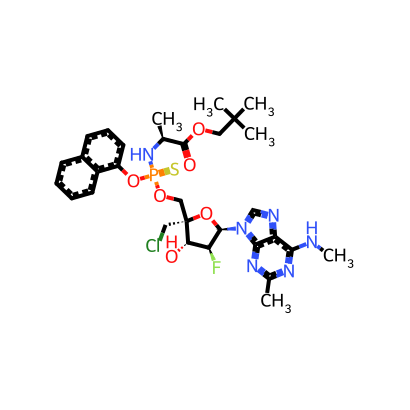 CNc1nc(C)nc2c1ncn2[C@@H]1O[C@](CCl)(COP(=S)(N[C@@H](C)C(=O)OCC(C)(C)C)Oc2cccc3ccccc23)[C@@H](O)[C@@H]1F